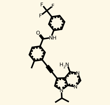 Cc1ccc(C(=O)Nc2cccc(C(F)(F)F)c2)cc1C#Cc1cn(C(C)C)c2ncnc(N)c12